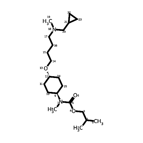 CC(C)COC(=O)N(C)[C@H]1CC[C@H](OCCCCN(C)CC2CC2)CC1